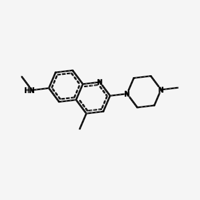 CNc1ccc2nc(N3CCN(C)CC3)cc(C)c2c1